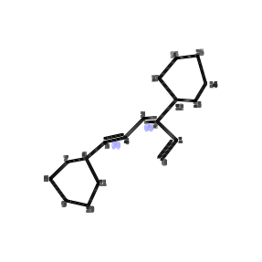 C=C/C(=C\C=C\C1CCCCC1)C1CCCCC1